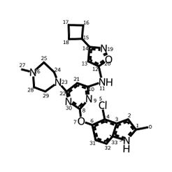 Cc1cc2c(Cl)c(Oc3nc(Nc4cc(C5CCC5)no4)cc(N4CCN(C)CC4)n3)ccc2[nH]1